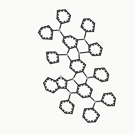 c1ccc(N(c2ccccc2)c2cc3c4c(c2)N(c2ccccc2)c2cc5c(cc2B4c2ccccc2N3c2ccccc2)N(c2ccccc2)c2cc(N(c3ccccc3)c3ccccc3)cc3c2B5c2sc4ccccc4c2N3c2ccccc2)cc1